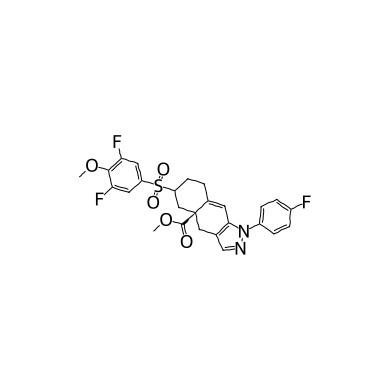 COC(=O)[C@]12Cc3cnn(-c4ccc(F)cc4)c3C=C1CCC(S(=O)(=O)c1cc(F)c(OC)c(F)c1)C2